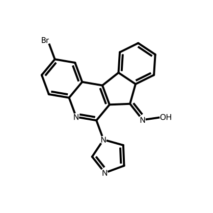 O/N=C1\c2ccccc2-c2c1c(-n1ccnc1)nc1ccc(Br)cc21